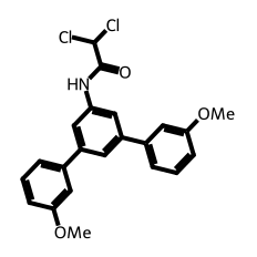 COc1cccc(-c2cc(NC(=O)C(Cl)Cl)cc(-c3cccc(OC)c3)c2)c1